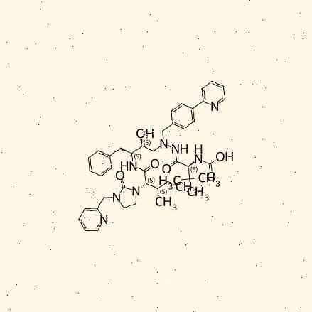 CC[C@H](C)[C@@H](C(=O)N[C@@H](Cc1ccccc1)[C@@H](O)CN(Cc1ccc(-c2ccccn2)cc1)NC(=O)[C@@H](NC(=O)O)C(C)(C)C)N1CCN(Cc2ccccn2)C1=O